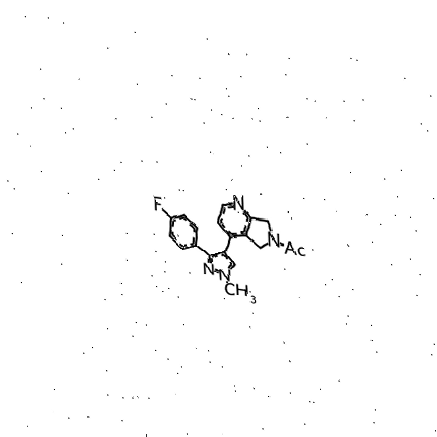 CC(=O)N1Cc2nccc(-c3cn(C)nc3-c3ccc(F)cc3)c2C1